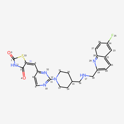 O=C1NC(=O)/C(=C\c2ccnc(N3CCC(CNCc4ccc5cc(F)ccc5n4)CC3)n2)S1